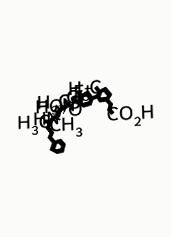 CCc1cc(-c2cc(CCC(=O)O)ccc2C)ccc1S(=O)(=O)N(C)C[C@H](O)CNC(C)(C)CCCc1ccccc1